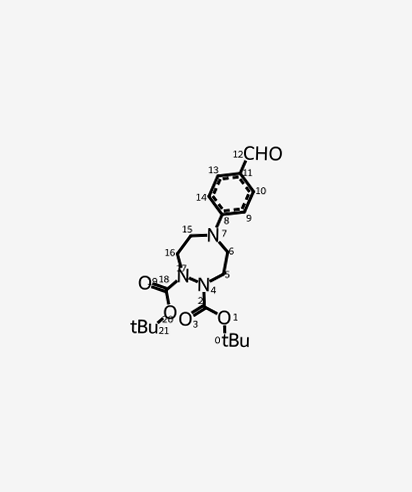 CC(C)(C)OC(=O)N1CCN(c2ccc(C=O)cc2)CCN1C(=O)OC(C)(C)C